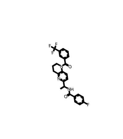 CC(NC(=O)c1ccc(F)cc1)c1ccc2c(n1)CCCN2C(=O)c1cccc(C(F)(F)F)c1